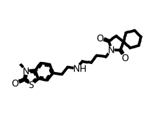 Cn1c(=O)sc2cc(CCNCCCCN3C(=O)CC4(CCCCC4)C3=O)ccc21